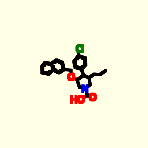 CCCC1CN(C(=O)O)CC(OCc2ccc3ccccc3c2)C1c1ccc(Cl)cc1